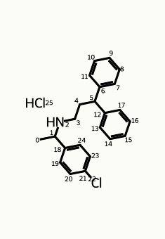 CC(NCCC(c1ccccc1)c1ccccc1)c1ccc(Cl)cc1.Cl